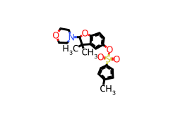 Cc1ccc(S(=O)(=O)Oc2ccc3c(c2)C(C)(C)C(N2CCOCC2)O3)cc1